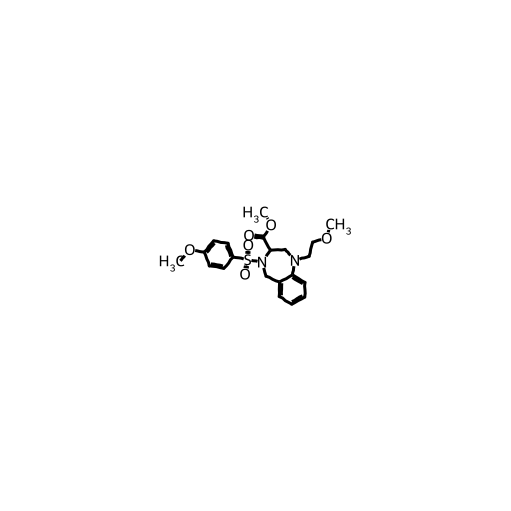 COCCN1CC(C(=O)OC)N(S(=O)(=O)c2ccc(OC)cc2)Cc2ccccc21